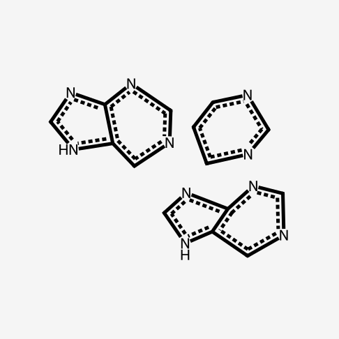 c1cncnc1.c1ncc2[nH]cnc2n1.c1ncc2[nH]cnc2n1